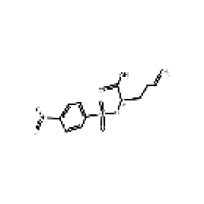 C=CCC[C@@H](OS(=O)(=O)c1ccc([N+](=O)[O-])cc1)C(=O)O